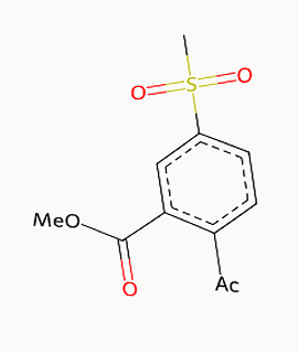 COC(=O)c1cc(S(C)(=O)=O)ccc1C(C)=O